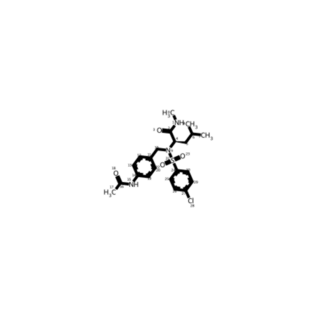 CNC(=O)[C@@H](CC(C)C)N(Cc1ccc(NC(C)=O)cc1)S(=O)(=O)c1ccc(Cl)cc1